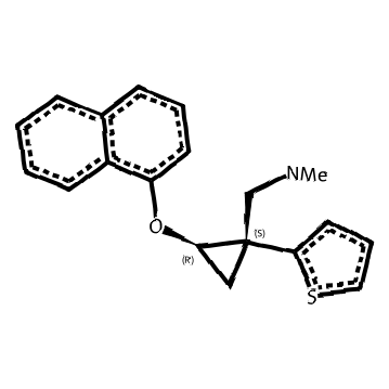 CNC[C@@]1(c2cccs2)C[C@H]1Oc1cccc2ccccc12